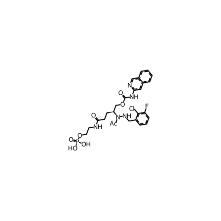 CC(=O)N(NCc1cccc(F)c1Cl)[C@@H](CCC(=O)NCCOP(=O)(O)O)COC(=O)Nc1cc2ccccc2cn1